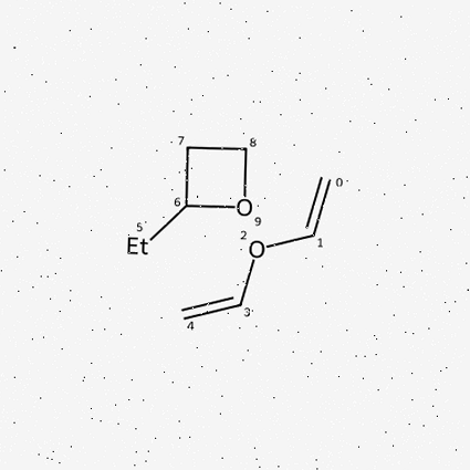 C=COC=C.CCC1CCO1